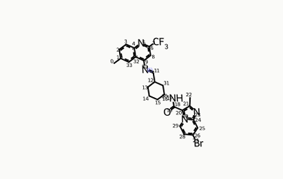 Cc1ccc2nc(C(F)(F)F)cc(/N=C/C3CCC[C@@H](NC(=O)c4c(C)nc5cc(Br)ccn45)C3)c2c1